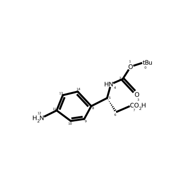 CC(C)(C)OC(=O)N[C@H](CC(=O)O)c1ccc(N)cc1